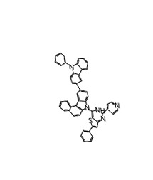 c1ccc(-c2cc3c(s2)=C(n2c4ccc(-c5ccc6c(c5)c5ccccc5n6-c5ccccc5)cc4c4c5ccccc5ccc42)NC(c2ccncc2)N=3)cc1